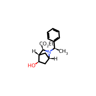 CCOC(=O)[C@@H]1[C@@H]2C[C@@H](C[C@H]2O)N1[C@H](C)c1ccccc1